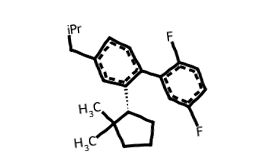 CC(C)Cc1ccc(-c2cc(F)ccc2F)c([C@@H]2CCCC2(C)C)c1